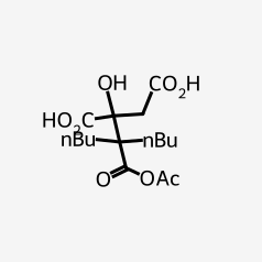 CCCCC(CCCC)(C(=O)OC(C)=O)C(O)(CC(=O)O)C(=O)O